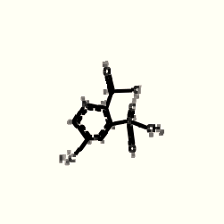 CS(=O)(=O)c1cc(C(F)(F)F)cnc1C(=O)Cl